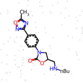 CCCCNCC1CN(c2ccc(-c3noc(C)n3)cc2)C(=O)O1